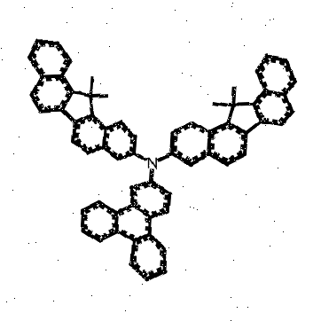 CC1(C)c2c(ccc3ccccc23)-c2ccc3cc(N(c4ccc5c6c(ccc5c4)-c4ccc5ccccc5c4C6(C)C)c4ccc5c6ccccc6c6ccccc6c5c4)ccc3c21